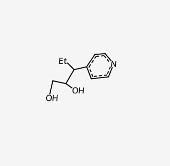 CCC(c1ccncc1)C(O)CO